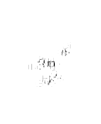 CC(C)[C@H](NC(=O)OC(C)(C)C)C(=O)O[C@H]1CC2C3(CC[C@]4(C)[C@@H]([C@@]5(C)CC[C@@H](C(C)(C)O)O5)[C@@H](O)C[C@@]24C)C[C@@]32CC[C@H](OC(=O)[C@@H](NC(=O)OC(C)(C)C)C(C)C)C(C)(C)[C@H]12